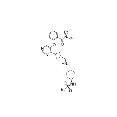 CCN(C(=O)c1cc(F)ccc1Oc1cncnc1N1CC(CNC[C@H]2CC[C@H](NS(=O)(=O)CC)CC2)C1)C(C)C